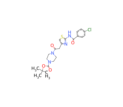 CC(C)(C)OC(=O)N1CCN(C(=O)Cc2csc(NC(=O)c3ccc(Cl)cc3)n2)CC1